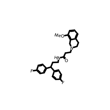 COc1cccc2c1CN(CCC(=O)NCCC(c1ccc(F)cc1)c1ccc(F)cc1)CC2